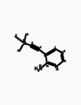 C[Si](C)(C)C#Cc1cncnc1N